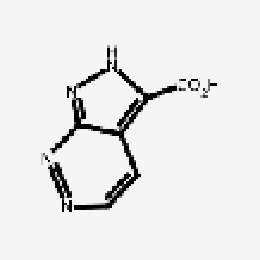 O=C(O)c1[nH]nc2nnccc12